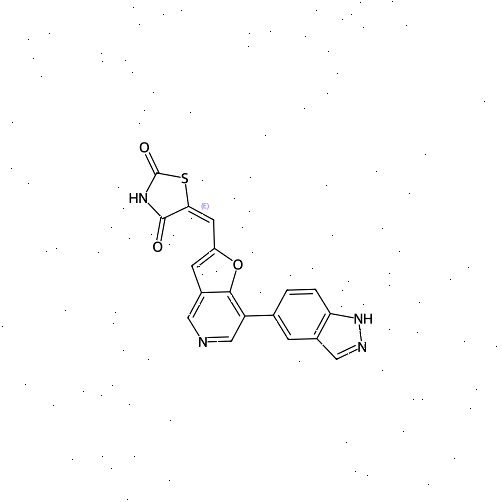 O=C1NC(=O)/C(=C\c2cc3cncc(-c4ccc5[nH]ncc5c4)c3o2)S1